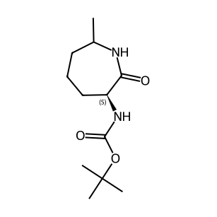 CC1CCC[C@H](NC(=O)OC(C)(C)C)C(=O)N1